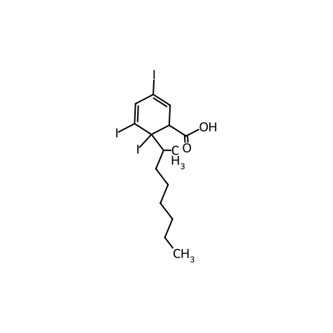 CCCCCCC(C)C1(I)C(I)=CC(I)=CC1C(=O)O